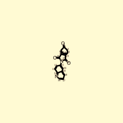 O=C1CC2CCC1C1C(=O)N(c3ccc4ncccc4c3)C(=O)C21